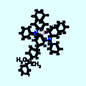 C[Si](C)(c1ccccc1)c1ccc(-c2cc3c4c(c2)N(c2ccccc2)c2cc5ccccc5cc2B4c2cc4ccccc4cc2N3c2ccccc2)cc1